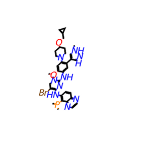 CN/C=C(\C=N)c1cc(Nc2ncc(Br)c(Nc3ccc4nccnc4c3P(C)C)n2)c(OC)cc1N1CCC(OCC2CC2)CC1